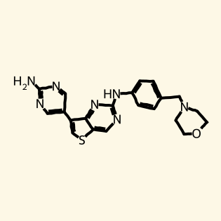 Nc1ncc(-c2csc3cnc(Nc4ccc(CN5CCOCC5)cc4)nc23)cn1